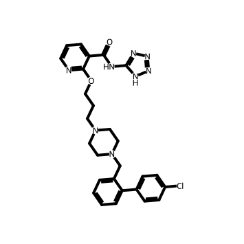 O=C(Nc1nnn[nH]1)c1cccnc1OCCCN1CCN(Cc2ccccc2-c2ccc(Cl)cc2)CC1